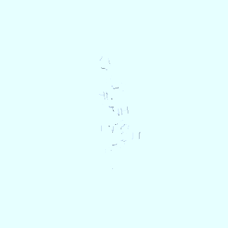 CS(C)(C)CCOC(=O)CC(NC(=O)CNC(=O)CNC(=O)OCc1ccccc1)C(=O)O